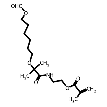 C=C(C)C(=O)OCCNC(=O)C(C)(C)OCCCCCCOC=O